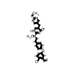 COc1ncc(Cc2c[nH]c(N(C)CCc3ccc(Oc4ccc(Cl)c(CF)c4)cc3)nc2=O)cn1